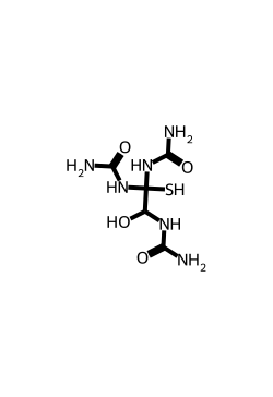 NC(=O)NC(O)C(S)(NC(N)=O)NC(N)=O